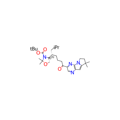 CC(C)C[C@H](CCCC(=O)c1cnc2cc3n(c2n1)CCC3(C)C)[C@@H]1COC(C)(C)N1C(=O)OC(C)(C)C